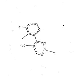 Cc1ccc(C(F)(F)F)c(-c2cccc(F)c2C)n1